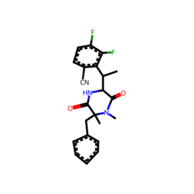 CC(c1c(C#N)ccc(F)c1F)C1NC(=O)C(C)(Cc2ccccc2)N(C)C1=O